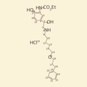 CCOC(=O)Nc1cc(C(O)CNCCCCCCOCCCc2ccccc2)ccc1O.Cl